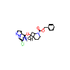 CC1(Oc2nc(Cl)cn3nccc23)CC2[C@H]1CCCN2C(=O)OCc1ccccc1